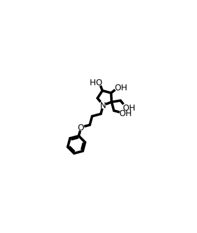 OCC1(CO)C(O)C(O)CN1CCCOc1ccccc1